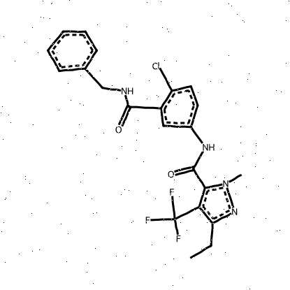 CCc1nn(C)c(C(=O)Nc2ccc(Cl)c(C(=O)NCc3ccccc3)c2)c1C(F)(F)F